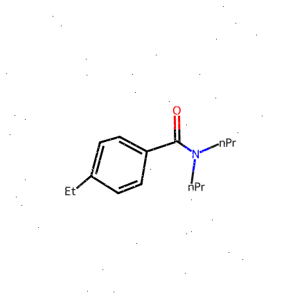 CCCN(CCC)C(=O)c1ccc(CC)cc1